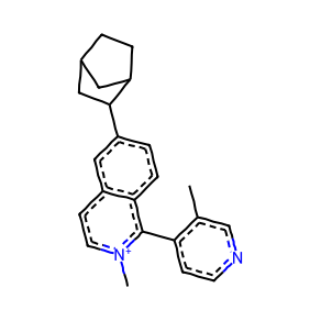 Cc1cnccc1-c1c2ccc(C3CC4CCC3C4)cc2cc[n+]1C